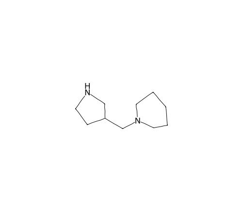 C1CCN(CC2CCNC2)CC1